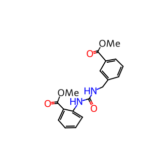 COC(=O)c1cccc(CNC(=O)Nc2ccccc2C(=O)OC)c1